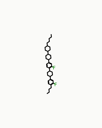 CCCCCC1CCC(C2CCC(c3ccc(C4CCC(c5ccc(CCCC)c(F)c5)CC4)c(F)c3)CC2)CC1